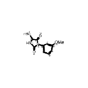 CCCCC1NC(=O)N(c2cccc(OC)c2)C1=O